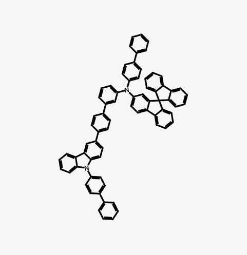 c1ccc(-c2ccc(N(c3cccc(-c4ccc(-c5ccc6c(c5)c5ccccc5n6-c5ccc(-c6ccccc6)cc5)cc4)c3)c3ccc4c(c3)C3(c5ccccc5-c5ccccc53)c3ccccc3-4)cc2)cc1